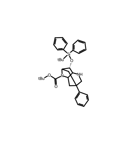 CC(C)(C)OC(=O)N1C2CC3(c4ccccc4)CNC2[C@@H](O[Si](c2ccccc2)(c2ccccc2)C(C)(C)C)C1C3